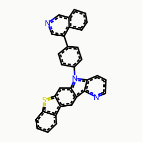 c1ccc2c(-c3ccc(-n4c5cc6sc7ccccc7c6cc5c5ncccc54)cc3)cncc2c1